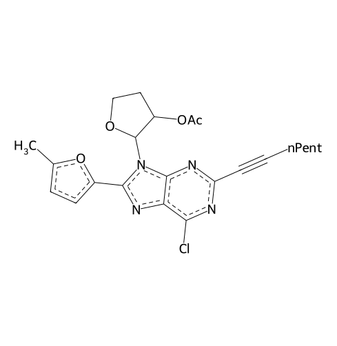 CCCCCC#Cc1nc(Cl)c2nc(-c3ccc(C)o3)n(C3OCCC3OC(C)=O)c2n1